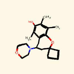 Cc1c(C)c2c(c(C)c1O)C(N1CCOCC1)CC1(CCC1)O2